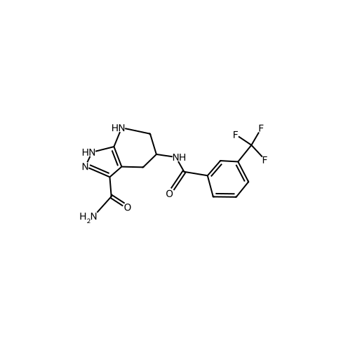 NC(=O)c1n[nH]c2c1CC(NC(=O)c1cccc(C(F)(F)F)c1)CN2